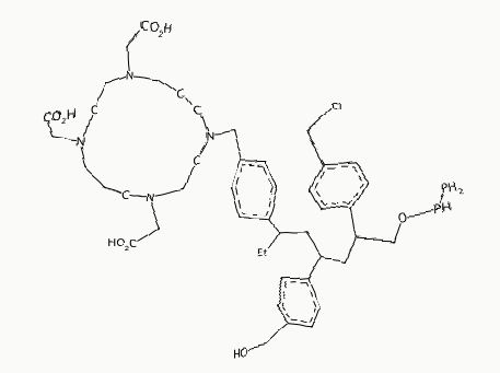 CCC(CC(CC(COPP)c1ccc(CCl)cc1)c1ccc(CO)cc1)c1ccc(CN2CCCN(CC(=O)O)CCN(CC(=O)O)CCCN(CC(=O)O)CC2)cc1